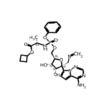 C=NC[C@@]1(c2ccc3c(N)ncnn23)O[C@H](COP(=O)(N[C@@H](C)C(=O)OC2CCC2)Oc2ccccc2)[C@@H](O)[C@H]1O